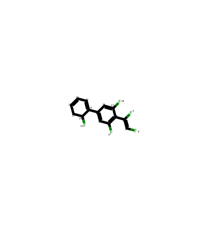 F/C=C(\F)c1c(F)cc(C2=CC=CCC2F)cc1F